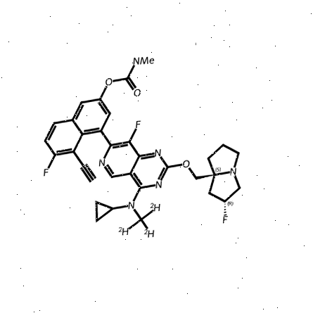 [2H]C([2H])([2H])N(c1nc(OC[C@@]23CCCN2C[C@H](F)C3)nc2c(F)c(-c3cc(OC(=O)NC)cc4ccc(F)c(C#C)c34)ncc12)C1CC1